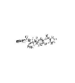 CC(C)(C)OC(=O)N1CC(CC#N)(N2CC(CN(C(=O)C(F)(F)F)C3CC3c3ccccc3)C2)C1